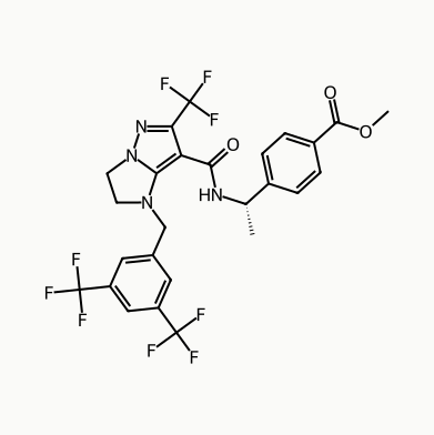 COC(=O)c1ccc([C@H](C)NC(=O)c2c(C(F)(F)F)nn3c2N(Cc2cc(C(F)(F)F)cc(C(F)(F)F)c2)CC3)cc1